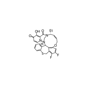 CC[C@@H]1/C=C\COc2cc(F)c(F)c3c2[C@@H](c2ccccc2SC3)N2CN1C(=O)c1c(O)c(=O)ccn12